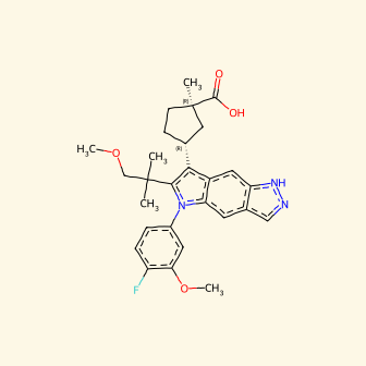 COCC(C)(C)c1c([C@@H]2CC[C@@](C)(C(=O)O)C2)c2cc3[nH]ncc3cc2n1-c1ccc(F)c(OC)c1